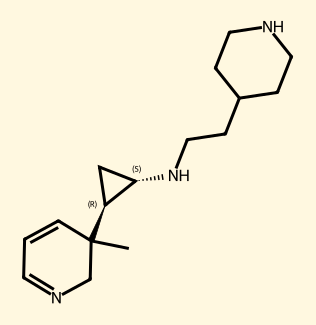 CC1([C@H]2C[C@@H]2NCCC2CCNCC2)C=CC=NC1